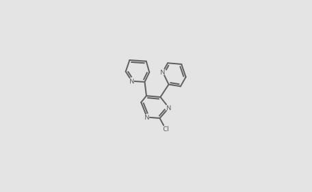 Clc1ncc(-c2ccccn2)c(-c2ccccn2)n1